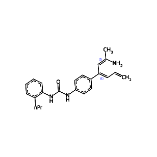 C=C/C=C(\C=C(\C)N)c1ccc(NC(=O)Nc2ccccc2CCC)cc1